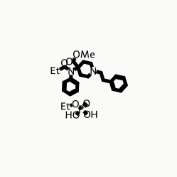 CCC(=O)N(c1ccccc1)C1(C(=O)OC)CCN(CCc2ccccc2)CC1.CCOP(=O)(O)O